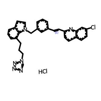 Cl.Clc1ccc2ccc(/C=C/c3cccc(Cn4ccc5cccc(CCCn6cnnn6)c54)c3)nc2c1